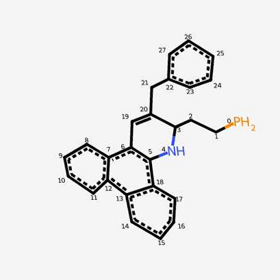 PCCC1Nc2c(c3ccccc3c3ccccc23)C=C1Cc1ccccc1